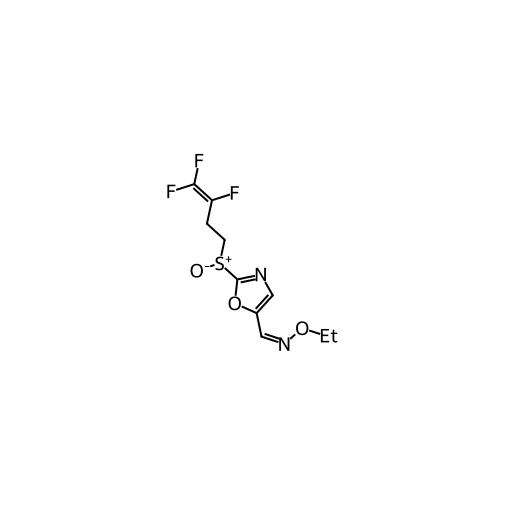 CCO/N=C\c1cnc([S+]([O-])CCC(F)=C(F)F)o1